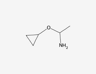 CC(N)OC1CC1